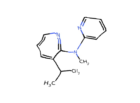 CC(C)c1cccnc1N(C)c1ccccn1